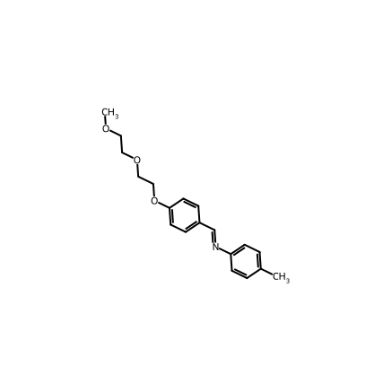 COCCOCCOc1ccc(C=Nc2ccc(C)cc2)cc1